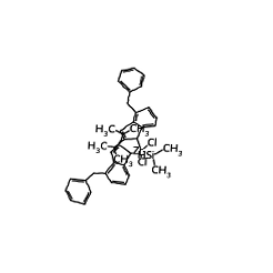 CC(C)C1=Cc2c(Cc3ccccc3)cccc2[CH]1[Zr]([Cl])([Cl])([CH]1C(C(C)C)=Cc2c(Cc3ccccc3)cccc21)[SiH](C)C